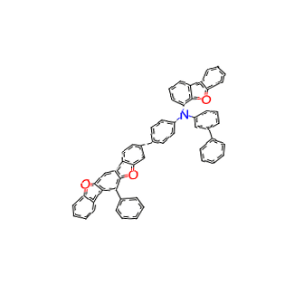 c1ccc(-c2cccc(N(c3ccc(-c4ccc5c(c4)oc4c(-c6ccccc6)c6c(cc45)oc4ccccc46)cc3)c3cccc4c3oc3ccccc34)c2)cc1